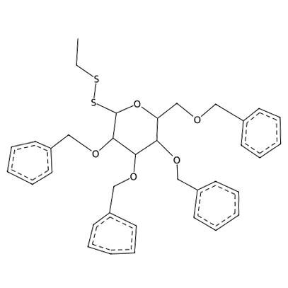 CCSSC1OC(COCc2ccccc2)C(OCc2ccccc2)C(OCc2ccccc2)C1OCc1ccccc1